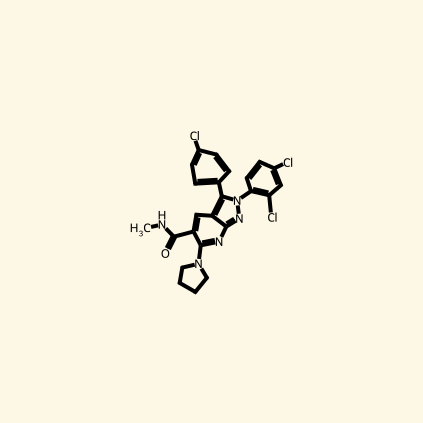 CNC(=O)c1cc2c(-c3ccc(Cl)cc3)n(-c3ccc(Cl)cc3Cl)nc2nc1N1CCCC1